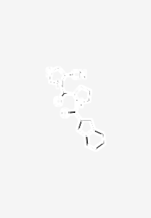 N#C[C@@H]1CSCN1C(=O)[C@H]1CCCN1C(=O)C1=Cc2ccccc2C1